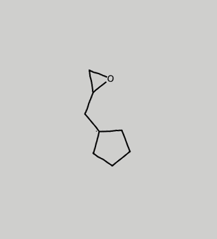 C1CC[C](CC2CO2)C1